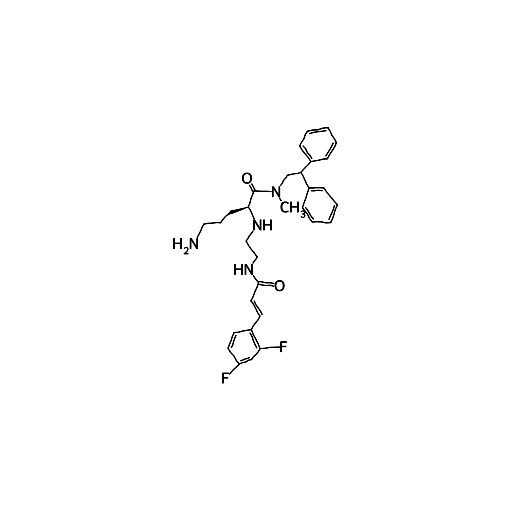 CN(CC(c1ccccc1)c1ccccc1)C(=O)[C@H](CCCN)NCCNC(=O)/C=C/c1ccc(F)cc1F